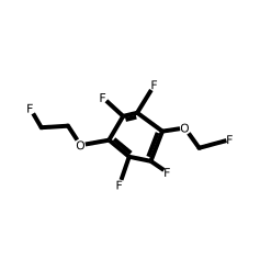 FCCOc1c(F)c(F)c(OCF)c(F)c1F